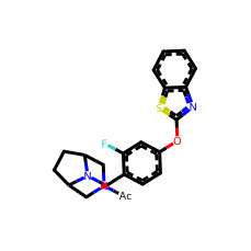 CC(=O)N1CC2CCC(C1)N2Cc1ccc(Oc2nc3ccccc3s2)cc1F